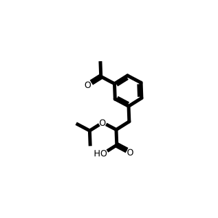 CC(=O)c1cccc(CC(OC(C)C)C(=O)O)c1